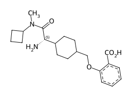 CN(C(=O)[C@@H](N)C1CCC(COc2ccccc2C(=O)O)CC1)C1CCC1